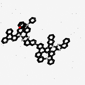 c1ccc(-n2c3ccccc3c3cc(-c4nc5c(ccc6cc(-c7ccc8c(c7)c7ccccc7c7ccc9c(c%10cc%11ccccc%11cc%10n9-c9nc%10c(ccc%11ccccc%11%10)nc9-c9ccc%10c(c9)c9ccccc9n%10-c9ccccc9)c78)ccc65)nc4-n4c5cc6ccccc6cc5c5c6c7ccccc7c7ccccc7c6ccc54)ccc32)cc1